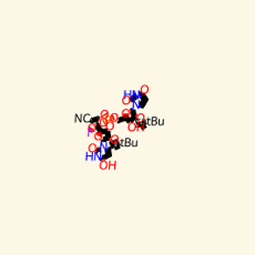 CC(C)(C)[Si](C)(C)OC1C(OP(=O)(OCCC#N)OCC2OC(n3ccc(=O)[nH]c3=O)C(O[Si](C)(C)C(C)(C)C)C2O)C(COI)OC1N1C=CC(O)NC1=O